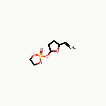 C=CC1CCC(OP2(=O)OCCO2)O1